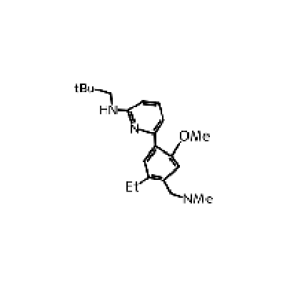 CCc1cc(-c2cccc(NCC(C)(C)C)n2)c(OC)cc1CNC